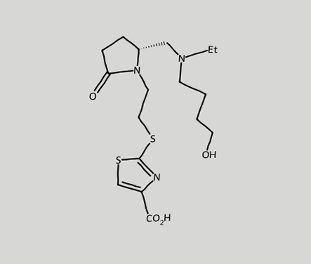 CCN(CCCCO)C[C@H]1CCC(=O)N1CCSc1nc(C(=O)O)cs1